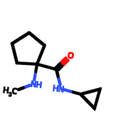 CNC1(C(=O)NC2CC2)CCCC1